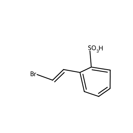 O=S(=O)(O)c1ccccc1C=CBr